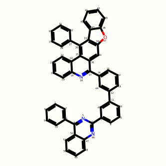 c1ccc(-c2nc(-c3cccc(-c4cccc(-c5nc6ccccc6c6c(-c7ccccc7)c7c(cc56)oc5ccccc57)c4)c3)nc3ccccc23)cc1